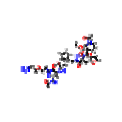 CCOC(=O)[C@@]1(C(=O)N[C@@H](Cc2ccco2)C(=O)NCc2ccccc2CC(=O)N[C@@H](CCNC(C)=O)C(=O)NCCOCCN)CCCN(C(C)=O)C1